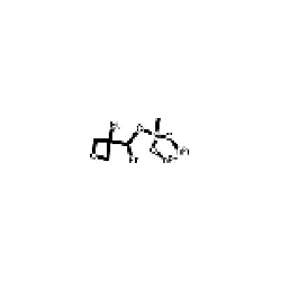 CCCO[Si](C)(OCCC)OC(CC)C1(CC)COC1